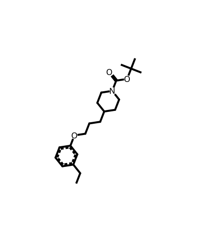 CCc1cccc(OCCCC2CCN(C(=O)OC(C)(C)C)CC2)c1